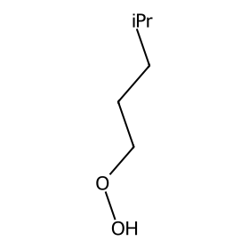 CC(C)CCCOO